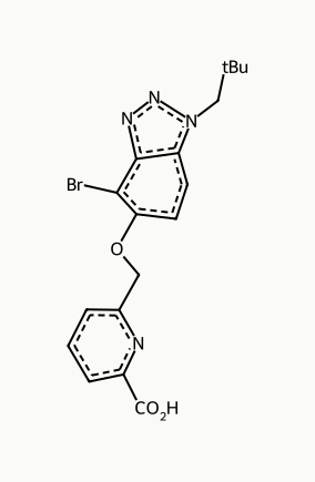 CC(C)(C)Cn1nnc2c(Br)c(OCc3cccc(C(=O)O)n3)ccc21